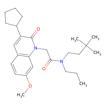 CCCN(CCC(C)(C)C)C(=O)Cn1c(=O)c(C2CCCC2)cc2ccc(OC)cc21